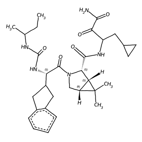 CCC(C)NC(=O)N[C@H](C(=O)N1C[C@@H]2[C@H]([C@H]1C(=O)NC(CC1CC1)C(=O)C(N)=O)C2(C)C)C1Cc2ccccc2C1